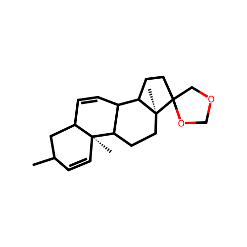 CC1C=C[C@@]2(C)C(C=CC3C2CC[C@@]2(C)C3CCC23COCO3)C1